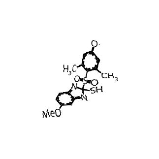 COc1ccc2c(c1)=NC(S)(S(=O)(=O)c1c(C)cc([O])cc1C)N=2